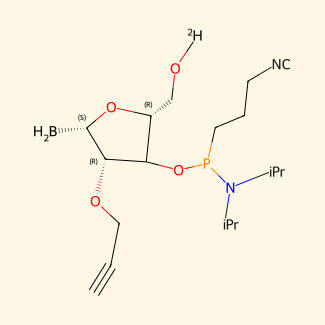 [2H]OC[C@H]1O[C@@H](B)[C@@H](OCC#C)C1OP(CCC[N+]#[C-])N(C(C)C)C(C)C